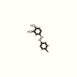 Cc1ccc(N=Nc2ccc(O)c(O)c2)cc1